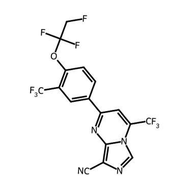 N#Cc1ncn2c(C(F)(F)F)cc(-c3ccc(OC(F)(F)CF)c(C(F)(F)F)c3)nc12